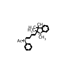 CC(=O)N(C=CC=CC1(C)N(C)c2ccccc2C1(C)C)c1ccccc1